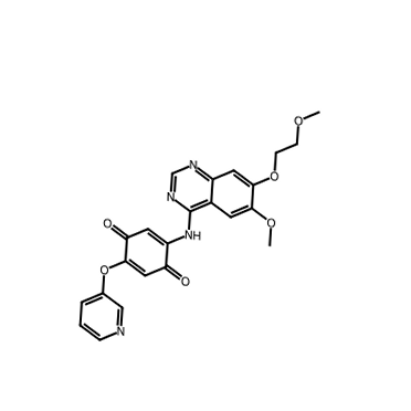 COCCOc1cc2ncnc(NC3=CC(=O)C(Oc4cccnc4)=CC3=O)c2cc1OC